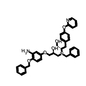 Nc1cc(OC[C@@H](O)CN(Cc2ccccc2)[C@H](CO)Cc2ccc(Oc3ccccn3)cc2)ccc1OCc1ccccc1